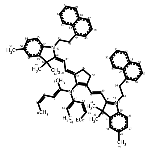 C/C=C\C=C(/C)N(C1=C(/C=C/C2=[N+](CCc3cccc4ccccc34)c3ccc(C)cc3C2(C)C)CC/C1=C\C=C1\N(CCc2cccc3ccccc23)c2ccc(C)cc2C1(C)C)C(/C=C\CC)=C/C